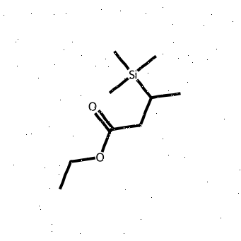 CCOC(=O)CC(C)[Si](C)(C)C